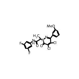 COc1cccc(-c2nn(C(C)C(=O)Nc3cc(F)cc(F)c3)c(=O)c(Cl)c2Cl)c1